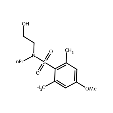 CCCN(CCO)S(=O)(=O)c1c(C)cc(OC)cc1C